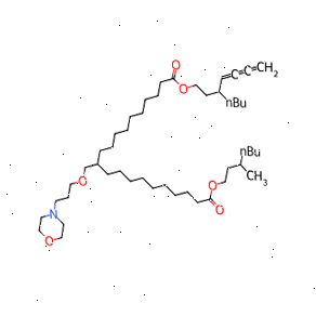 C=C=C=CC(CCCC)CCOC(=O)CCCCCCCCCC(CCCCCCCCCC(=O)OCCC(C)CCCC)COCCCN1CCOCC1